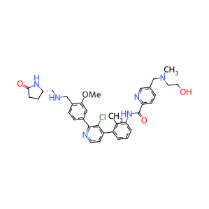 COc1cc(-c2nccc(-c3cccc(NC(=O)c4ccc(CN(C)CCO)cn4)c3C)c2Cl)ccc1CNC[C@@H]1CCC(=O)N1